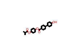 C=C(C)C(=O)Oc1ccc(OC(=O)c2ccc(-c3ccc(O)cc3)cc2)cc1